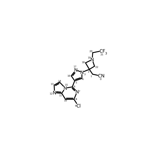 N#CCC1(n2cc(-c3nc(Cl)cc4nccn34)cn2)CN(CC(F)(F)F)C1